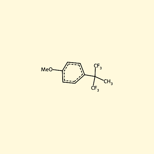 COc1ccc(C(C)(C(F)(F)F)C(F)(F)F)cc1